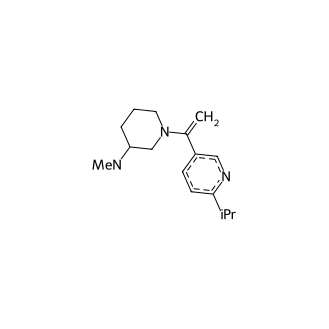 C=C(c1ccc(C(C)C)nc1)N1CCCC(NC)C1